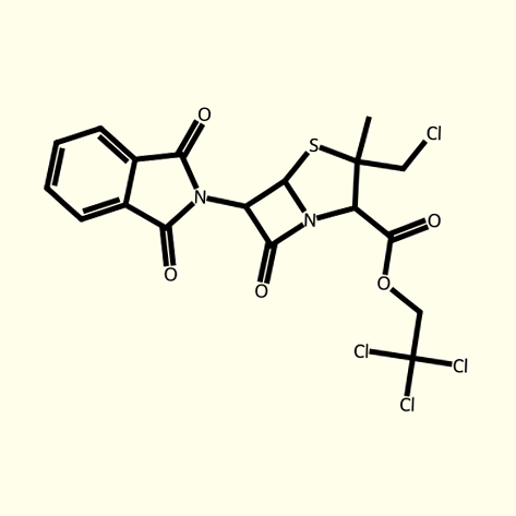 CC1(CCl)SC2C(N3C(=O)c4ccccc4C3=O)C(=O)N2C1C(=O)OCC(Cl)(Cl)Cl